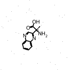 C[C@](N)(C(=O)O)c1cnc2ccccc2n1